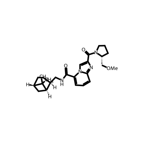 COC[C@H]1CCCN1C(=O)c1cn2c(C(=O)NC[C@@H]3CC[C@H]4C[C@H]3C4(C)C)cccc2n1